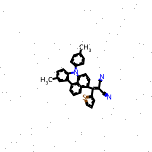 Cc1ccc(N2c3ccc(C)cc3-c3cccc4c(C(=C(C#N)C#N)c5cccs5)ccc2c34)cc1